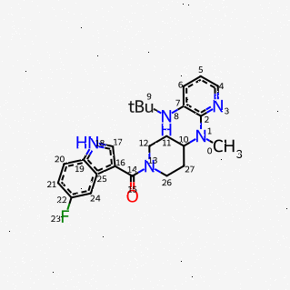 CN(c1ncccc1NC(C)(C)C)C1CCN(C(=O)c2c[nH]c3ccc(F)cc23)CC1